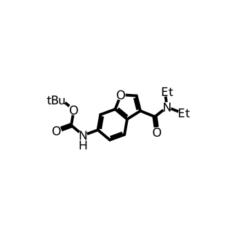 CCN(CC)C(=O)c1coc2cc(NC(=O)OC(C)(C)C)ccc12